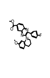 COC(=O)c1ccc2nc(-c3ccc(F)cc3)c(N3CCCc4ccc(OC)cc43)nc2c1